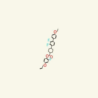 C=CCOc1ccc(OC(=O)C2CCC(c3ccc(-c4ccc(OCC)cc4)c(F)c3F)CC2)c(F)c1